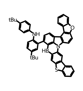 CC(C)(C)c1ccc(Nc2ccc(C(C)(C)C)cc2-c2ccc3c4c5c(ccc4n4c3c2Bc2cc3sc6ccccc6c3cc2-4)oc2ccccc25)cc1